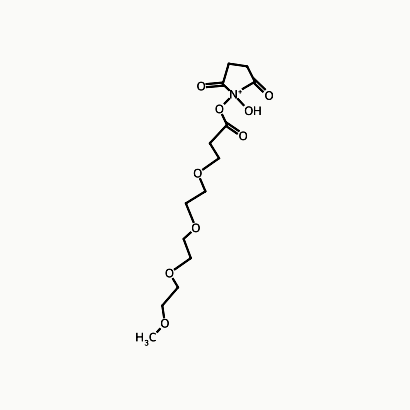 COCCOCCOCCOCCC(=O)O[N+]1(O)C(=O)CCC1=O